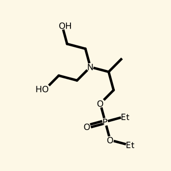 CCOP(=O)(CC)OCC(C)N(CCO)CCO